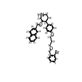 Brc1ccccc1COCCCOc1ccc(C2CCNCC2OCc2ccc3ccccc3c2)cc1